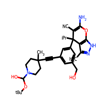 Cc1n[nH]c2c1C(c1cc(C#CC3(C)CCN(C(O)OC(C)(C)C)CC3)cc(CO)c1)(C(C)C)C(C#N)=C(N)O2